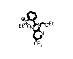 CCOCn1c(-c2ccccc2S(=O)(=O)CC)nc2cc(C(F)(F)F)cnc21